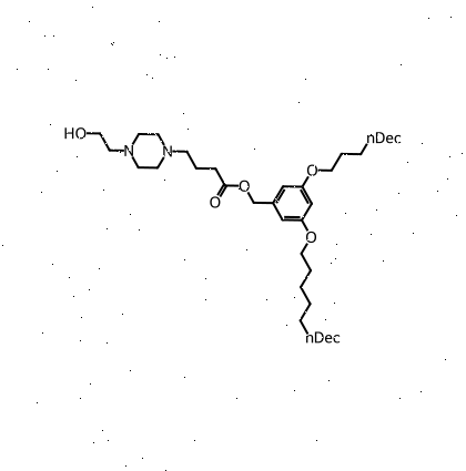 CCCCCCCCCCCCCCCOc1cc(COC(=O)CCCN2CCN(CCO)CC2)cc(OCCCCCCCCCCCCC)c1